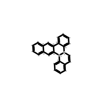 C1=CN2B(c3ccccc31)c1cc3ccccc3cc1-c1ccccc12